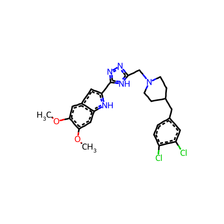 COc1cc2cc(-c3nnc(CN4CCC(Cc5ccc(Cl)c(Cl)c5)CC4)[nH]3)[nH]c2cc1OC